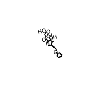 Cc1c(C#CCOc2ccccc2)cnc(C(=O)NCC(=O)O)c1O